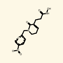 O=C(CCC1=CCCN(Cc2ccc([N+](=O)[O-])cc2)C1=O)NO